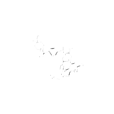 CC[C@H]1CN(C(C)c2ccc(C(=O)N3CCC(F)(F)CC3)cc2)[C@H](CC)CN1c1cc(=O)n(C)c2cn(CC#N)nc12